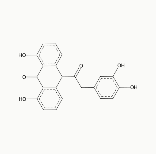 O=C1c2c(O)cccc2C(C(=O)Cc2ccc(O)c(O)c2)c2cccc(O)c21